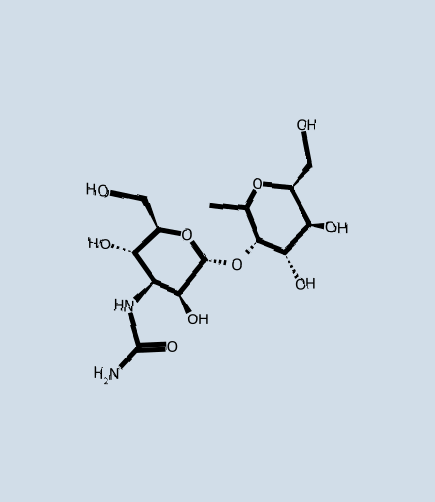 CC1O[C@@H](CO)[C@@H](O)[C@H](O)[C@@H]1O[C@H]1O[C@H](CO)[C@@H](O)[C@H](NC(N)=O)[C@@H]1O